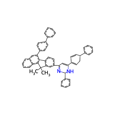 CC1(C)c2cc(C3=NC(c4ccccc4)NC(C4=CCC(c5ccccc5)C=C4)=C3)ccc2-c2c(-c3ccc(-c4ccccc4)cc3)cc3ccccc3c21